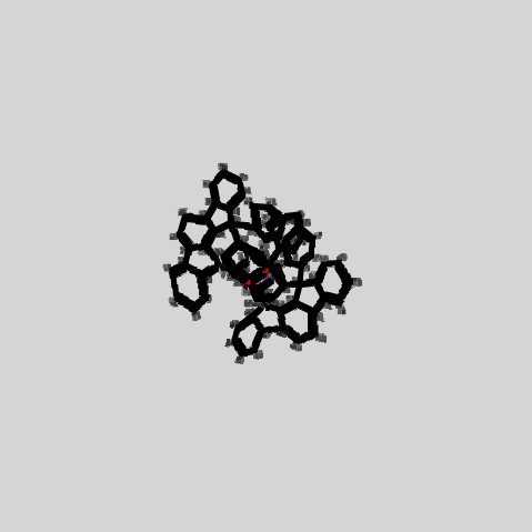 c1ccc(-c2nc(-n3c4ccccc4c4ccc5c(c43)C(c3ccccc3)(c3ccccc3)c3ccccc3-5)nc(-n3c4ccccc4c4ccc5c(c43)C(c3ccccc3)(c3ccccc3)c3ccccc3-5)n2)cc1